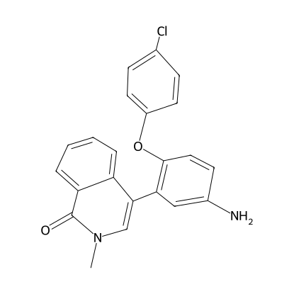 Cn1cc(-c2cc(N)ccc2Oc2ccc(Cl)cc2)c2ccccc2c1=O